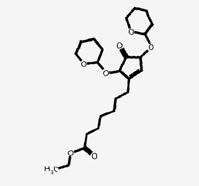 CCOC(=O)CCCCCCC1=CC(OC2CCCCO2)C(=O)C1OC1CCCCO1